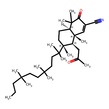 CCCC(C)(C)CCC(C)(C)CCC(C)(C)[C@]1(C)CC[C@H]2C(C)(C)C(=O)C(C#N)=C[C@]2(C)[C@H]1CC(C)=O